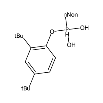 CCCCCCCCC[PH](O)(O)Oc1ccc(C(C)(C)C)cc1C(C)(C)C